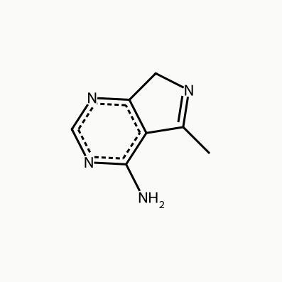 CC1=NCc2ncnc(N)c21